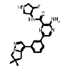 CC1(C)Cc2c(-c3cccc(-c4cnc(N)c(C(=O)NC5CNCC5F)n4)c3)cnn2C1